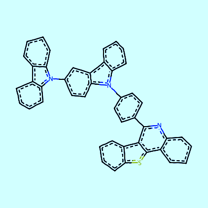 c1ccc2c(c1)nc(-c1ccc(-n3c4ccccc4c4cc(-n5c6ccccc6c6ccccc65)ccc43)cc1)c1c3ccccc3sc21